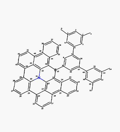 Cc1cc(C)cc(-c2cc(B3c4c5c6c(cccc6c6ccccc46)-c4cccc6c4N5c4c3c3ccccc3c3cccc-6c43)cc(-c3cc(C)cc(C)c3)c2)c1